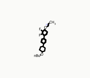 C/C=C/Oc1ccc(-c2ccc(C3CCC(OCCCC)CC3)cc2)c(F)c1F